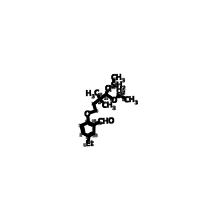 CCc1ccc(OCCC(C)(C)C(O[SiH2]C)O[SiH2]C)c(C=O)c1